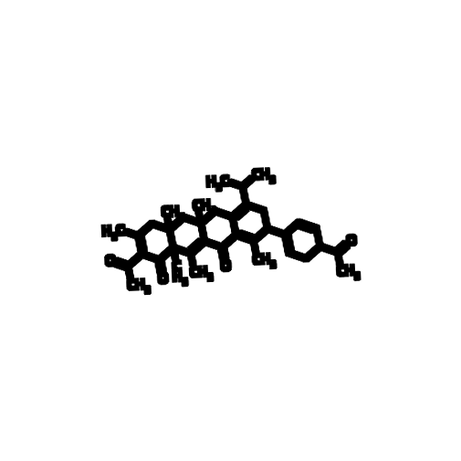 CC(=O)C1=C(C)CC2(C)CC3(C)CC4=C(C(C)C)CC(C5=CCC(C(C)=O)C=C5)C(C)=C4C(=O)C3=C(C)C2(C)C1=O